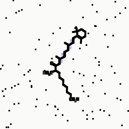 CC1=C(/C=C/C(C)=C/C=C/C(C)=C/C(=O)C(CCCCCCCC(=O)O)C(=O)O)C(C)(C)CCC1